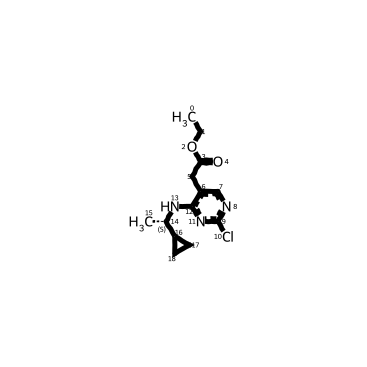 CCOC(=O)Cc1cnc(Cl)nc1N[C@@H](C)C1CC1